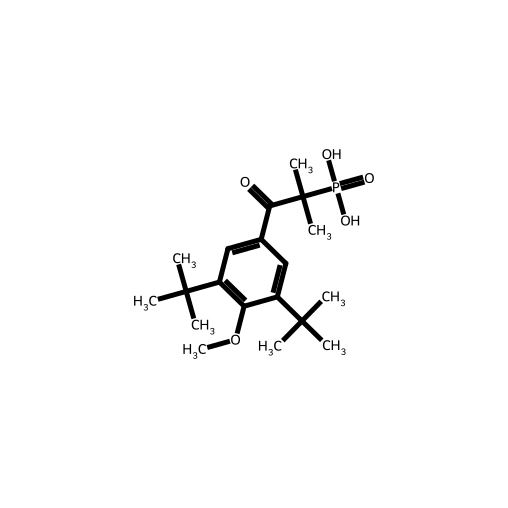 COc1c(C(C)(C)C)cc(C(=O)C(C)(C)P(=O)(O)O)cc1C(C)(C)C